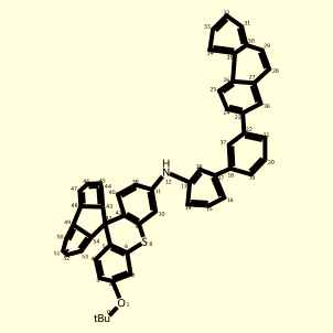 CC(C)(C)Oc1ccc2c(c1)Sc1cc(Nc3cccc(-c4cccc(-c5ccc6c(ccc7ccccc76)c5)c4)c3)ccc1C21c2ccccc2-c2ccccc21